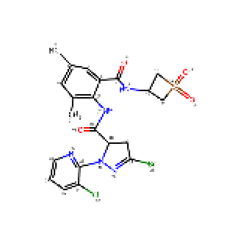 Cc1cc(C#N)cc(C(=O)NC2CS(=O)(=O)C2)c1NC(=O)C1CC(Br)=NN1c1ncccc1Cl